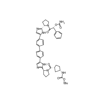 CC(C)(C)OC(=O)N[C@H]1CC[C@@H](C(=O)N2CCC[C@H]2c2ncc(-c3ccc(-c4ccc(-c5cnc([C@@H]6CCCN6C(=O)[C@H](OC(N)=O)c6ccccc6)[nH]5)cc4)cc3)[nH]2)C1